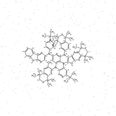 Cc1cc2c(cc1N1c3ccc(C(C)(C)C)cc3B3c4oc5cc6c(cc5c4N(c4ccc5c(c4)C(C)(C)CCC5(C)C)c4cc(N(c5ccc(C(C)(C)C)cc5)c5ccc7oc8ccccc8c7c5)cc1c43)C(C)(C)CCC6(C)C)C(C)(C)CCC2(C)C